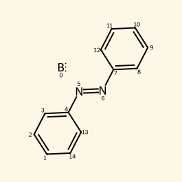 [B].c1ccc(N=Nc2ccccc2)cc1